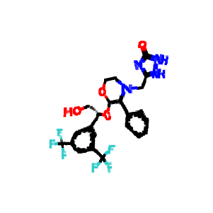 O=c1nc(CN2CCOC(O[C@@H](CO)c3cc(C(F)(F)F)cc(C(F)(F)F)c3)C2c2ccccc2)[nH][nH]1